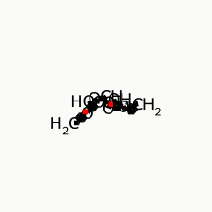 C=Cc1ccc(COc2ccc(C(=O)OCC(C)COC(=O)c3ccc(OCc4cccc(C=C)c4)cc3O)c(O)c2)cc1